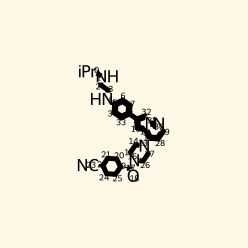 CC(C)NCCNc1ccc(-c2cc3c(N4CCN(C(=O)[C@H]5CC[C@H](C#N)CC5)CC4)ccnn3c2)cc1